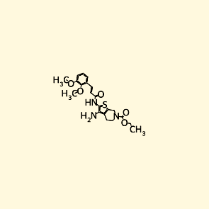 CCOC(=O)N1CCc2c(sc(NC(=O)/C=C/c3cccc(OC)c3OC)c2N)C1